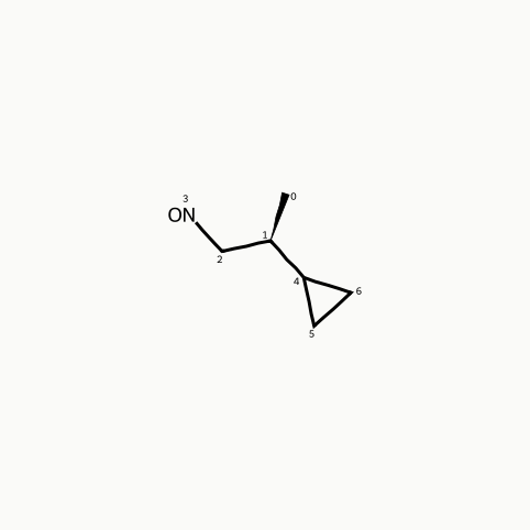 C[C@H](CN=O)C1CC1